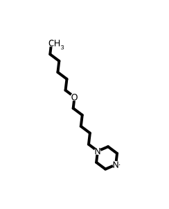 CCCCCCOCCCCCN1CC[N]CC1